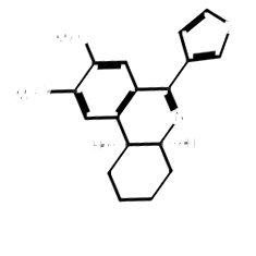 COc1cc2c(cc1OC)[C@@H]1CCCC[C@@H]1N=C2c1ccsc1